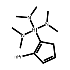 CCCC1=[C]([Hf]([N](C)C)([N](C)C)[N](C)C)CC=C1